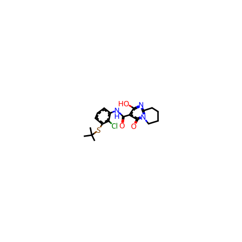 CC(C)(C)Sc1cccc(NC(=O)c2c(O)nc3n(c2=O)CCCC3)c1Cl